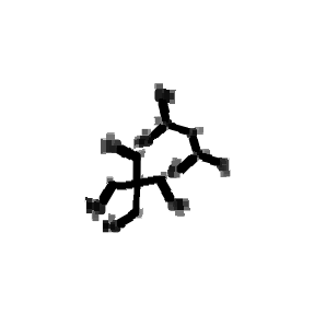 OCC(CO)(CO)CO.OP(O)OP(Cl)Cl